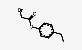 CCc1ccc(OC(=O)CBr)cc1